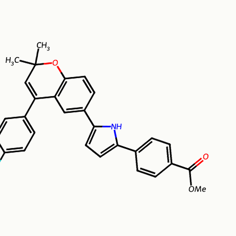 COC(=O)c1ccc(-c2ccc(-c3ccc4c(c3)C(c3ccc(F)cc3)=CC(C)(C)O4)[nH]2)cc1